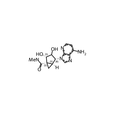 CNC(=O)[C@@]12C[C@@H]1[C@@H](n1cnc3c(N)ccnc31)C(O)[C@H]2O